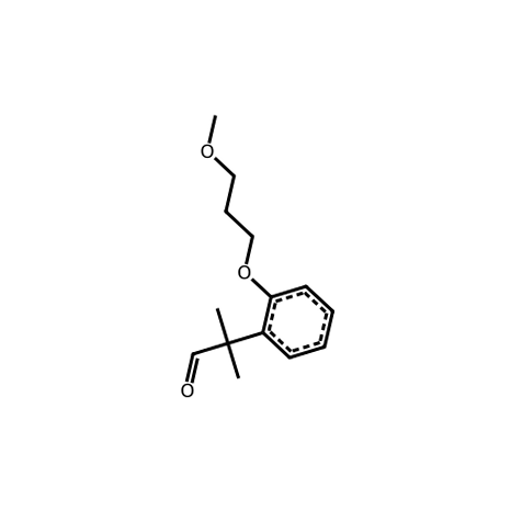 COCCCOc1ccccc1C(C)(C)C=O